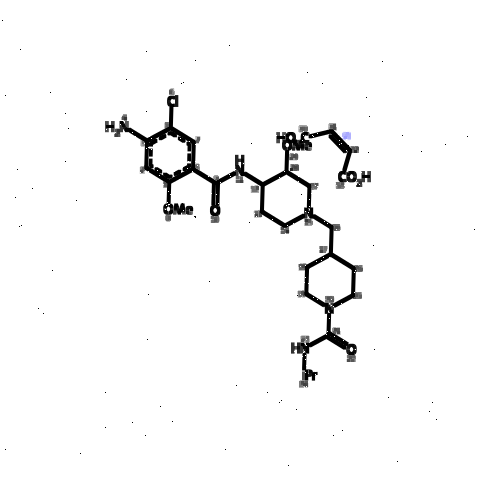 COc1cc(N)c(Cl)cc1C(=O)NC1CCN(CC2CCN(C(=O)NC(C)C)CC2)CC1OC.O=C(O)/C=C\C(=O)O